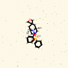 O=S(=O)(c1ccccc1)N1C[C@@H]2CC3(COC3)C[C@H](C1)N2Cc1ccccc1